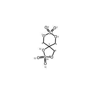 O=S1(=O)OCC2(CO1)COS(=O)(=O)O2